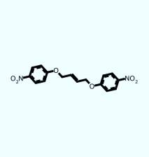 O=[N+]([O-])c1ccc(OCC=CCOc2ccc([N+](=O)[O-])cc2)cc1